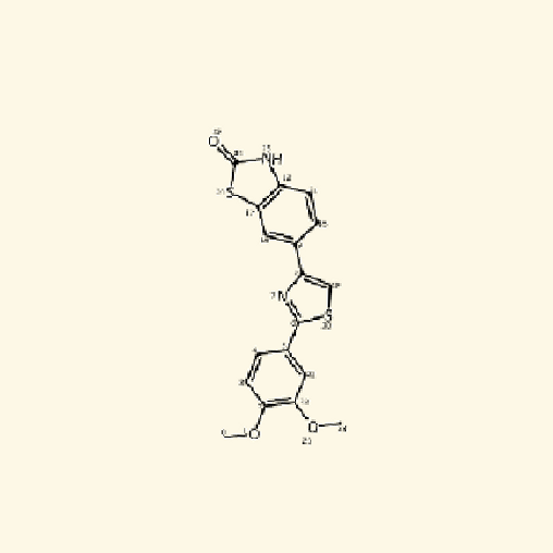 COc1ccc(-c2nc(-c3ccc4[nH]c(=O)sc4c3)cs2)cc1OC